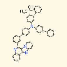 CC1(C)c2ccccc2-c2cc(N(c3ccc(-c4ccccc4)cc3)c3ccc(-c4cccc(-c5nc6ccccc6c6nc7ccccn7c56)c4)cc3)ccc21